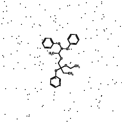 CCOC(CC)(COC(C)N(Oc1ccccc1)Oc1ccccc1)Oc1ccccc1